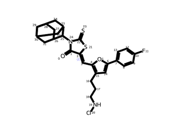 O=C1/C(=C/c2oc(-c3ccc(F)cc3)cc2CCCNCl)SC(=S)N1C1C2CC3CC(C2)CC1C3